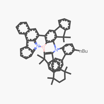 CCCCc1ccc(N2C3=C(B4c5c(cc6c(c52)C(C)(C)c2ccccc2-6)-c2cc5ccccc5c5c6ccccc6n4c25)C(C)(C)c2cc4c(cc23)C(C)(C)CCC4(C)C)c(-c2ccccc2)c1